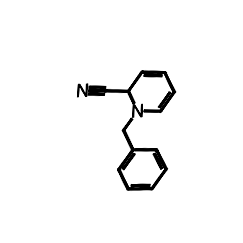 N#CC1C=CC=CN1Cc1ccccc1